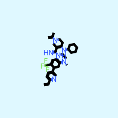 C=Cc1ccc(C2CC3=C(C=C2C(F)(F)F)N(C(=N)C2=C(NC4CCCCC4)CCN(C(=C)C)C2)CCN3C)cn1